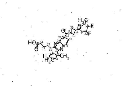 C=CC(C)(C=C)c1nc2ccc(C(=O)N3CC(C(=C/CC)/C=C(/F)CF)C3)cc2nc1CCCCC(=O)O